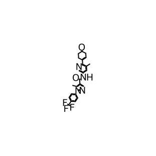 Cc1cc(NC(=O)c2cnn(-c3ccc(C(F)(F)F)cc3)c2C)cnc1C1=CCC(=O)CC1